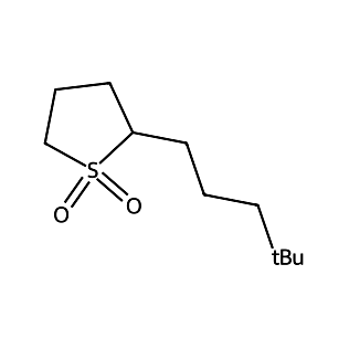 CC(C)(C)CCCC1CCCS1(=O)=O